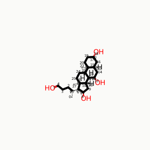 C[C@H](CCCO)[C@H]1[C@H](O)C[C@H]2[C@@H]3[C@H](O)C[C@@H]4C[C@H](O)CC[C@]4(C)[C@H]3CC[C@]12C